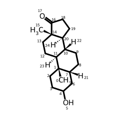 C[C@]12CCC(O)C[C@H]1CC[C@@H]1[C@@H]2CC[C@]2(C)C(=O)CC[C@@H]12